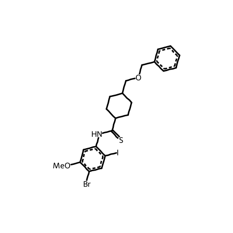 COc1cc(NC(=S)C2CCC(COCc3ccccc3)CC2)c(I)cc1Br